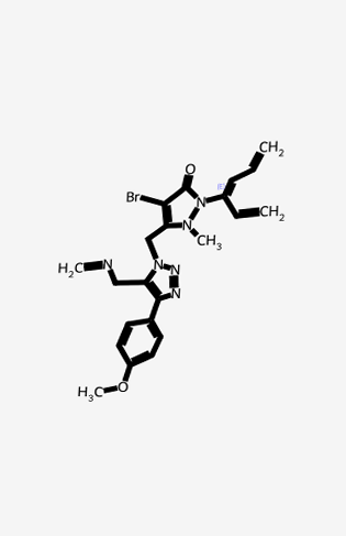 C=C/C=C(\C=C)n1c(=O)c(Br)c(Cn2nnc(-c3ccc(OC)cc3)c2CN=C)n1C